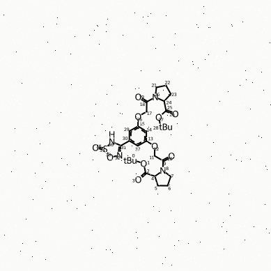 CC(C)(C)OC(=O)C1CCCN1C(=O)COc1cc(OCC(=O)N2CCCC2C(=O)OC(C)(C)C)cc(C2=NOS(=O)N2)c1